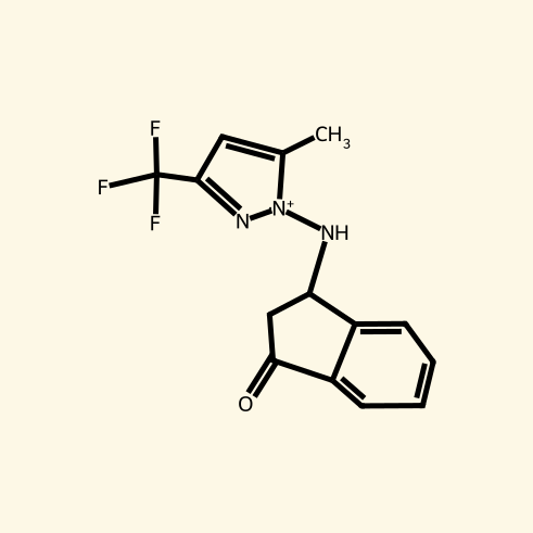 CC1=CC(C(F)(F)F)=N[N+]1NC1CC(=O)c2ccccc21